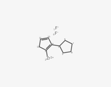 [F-].[F-].[Zr+2][C]1=C(C2CCCC2)C=CC1